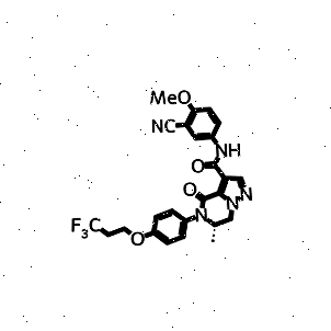 COc1ccc(NC(=O)c2cnn3c2C(=O)N(c2ccc(OCCC(F)(F)F)cc2)[C@@H](C)C3)cc1C#N